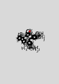 CC(C)(C)c1cc2c([c]([Zr+2]([C]3=CC=CC3)=[C](c3ccc([Si](C)(C)C)cc3)c3ccc([Si](C)(C)C)cc3)c1)Cc1c-2cccc1C(C)(C)C.[Cl-].[Cl-]